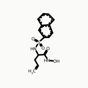 C=CCC(NS(=O)(=O)c1ccc2ccccc2c1)C(=O)NO